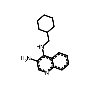 Nc1cnc2ccccc2c1NCC1CCCCC1